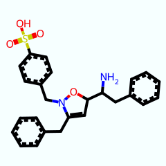 NC(Cc1ccccc1)C1C=C(Cc2ccccc2)N(Cc2ccc(S(=O)(=O)O)cc2)O1